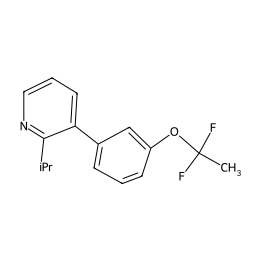 CC(C)c1ncccc1-c1cccc(OC(C)(F)F)c1